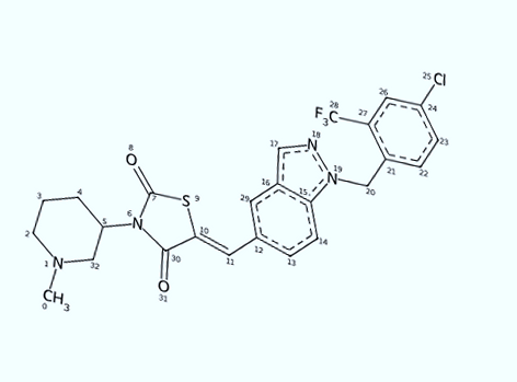 CN1CCCC(N2C(=O)SC(=Cc3ccc4c(cnn4Cc4ccc(Cl)cc4C(F)(F)F)c3)C2=O)C1